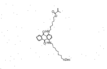 C=C(C)C(=O)OCCCCCCNc1ccc(NCCCCCCCCCCCCCCCCCC)c2c1C(=O)c1ccccc1C2=O